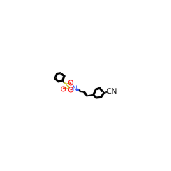 N#Cc1ccc(/C=C/C=NOS(=O)(=O)c2ccccc2)cc1